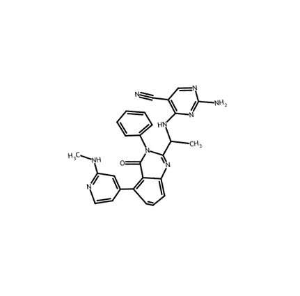 CNc1cc(-c2cccc3nc(C(C)Nc4nc(N)ncc4C#N)n(-c4ccccc4)c(=O)c23)ccn1